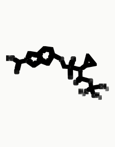 CC(C)(C)OC(=O)N(C1CC1)S(=O)(=O)COc1ccc2cn(C(=O)O)cc2c1